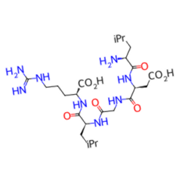 CC(C)C[C@H](NC(=O)CNC(=O)[C@H](CC(=O)O)NC(=O)[C@@H](N)CC(C)C)C(=O)N[C@@H](CCCNC(=N)N)C(=O)O